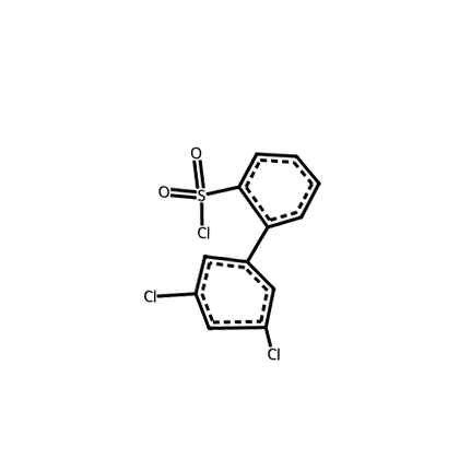 O=S(=O)(Cl)c1ccccc1-c1cc(Cl)cc(Cl)c1